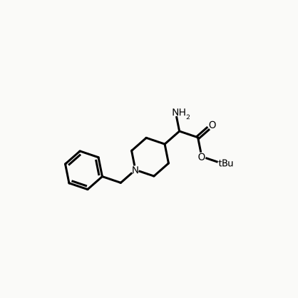 CC(C)(C)OC(=O)C(N)C1CCN(Cc2ccccc2)CC1